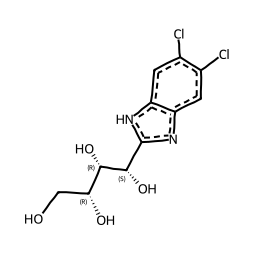 OC[C@@H](O)[C@H](O)[C@@H](O)c1nc2cc(Cl)c(Cl)cc2[nH]1